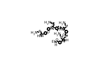 CCNC(=O)c1cccc(-c2n[nH]c(CCN(C)C(=O)c3cccc(-c4nn(C(C)Oc5c(C)cc(-c6nn(-c7cccc(Oc8ccc(-c9n[nH]cc9CN(C)CCN)cc8)c7)cc6CN(C)CCN)cc5C)cc4CN(C)CCN)c3)c2CN(C)CCN)c1